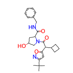 CC(C)(C)c1cc(C(C(=O)N2CC(O)CC2C(=O)NCc2ccccc2)C2CCC2)on1